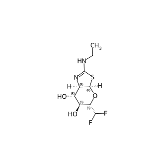 CCNC1=N[C@@H]2[C@@H](O)[C@H](O)[C@@H](C(F)F)O[C@@H]2S1